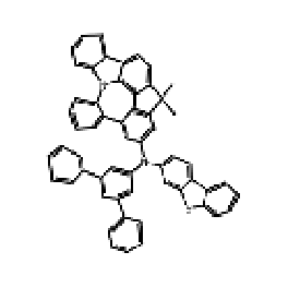 CC1(C)c2cc(N(c3cc(-c4ccccc4)cc(-c4ccccc4)c3)c3ccc4c(c3)sc3ccccc34)cc3c2-c2c1ccc1c4ccccc4n(c21)-c1ccccc1-3